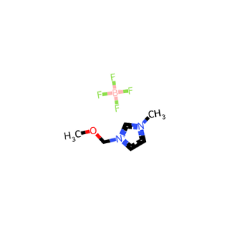 COC[n+]1ccn(C)c1.F[B-](F)(F)F